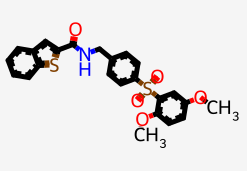 COc1ccc(OC)c(S(=O)(=O)c2ccc(CNC(=O)c3cc4ccccc4s3)cc2)c1